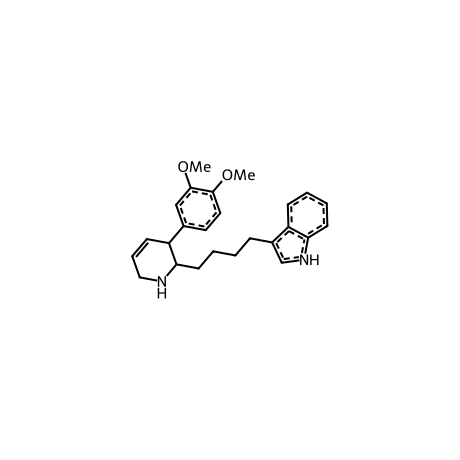 COc1ccc(C2C=CCNC2CCCCc2c[nH]c3ccccc23)cc1OC